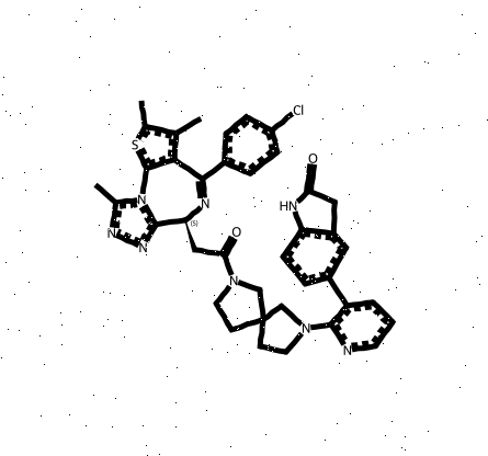 Cc1sc2c(c1C)C(c1ccc(Cl)cc1)=N[C@@H](CC(=O)N1CCC3(CCN(c4ncccc4-c4ccc5c(c4)CC(=O)N5)C3)C1)c1nnc(C)n1-2